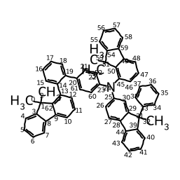 CC1(C)c2ccccc2-c2cccc(-c3ccccc3-c3ccc(N(c4ccc5c(c4)C(C)(c4ccccc4)c4ccccc4-5)c4cccc5c4C(C)(C)c4ccccc4-5)cc3)c21